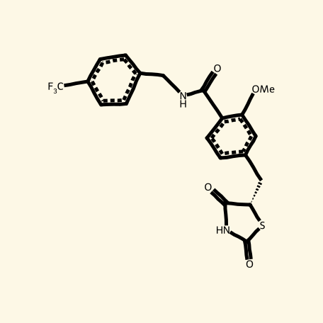 COc1cc(C[C@@H]2SC(=O)NC2=O)ccc1C(=O)NCc1ccc(C(F)(F)F)cc1